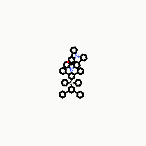 c1ccc(-c2cc(-c3ccccc3)cc([Si](c3ccccc3)(c3ccccc3)c3cc(-c4ccccc4)c(-n4c5ccccc5c5cc(-c6ccccc6-n6c7ccccc7c7ccccc76)ccc54)c(-c4ccccc4)c3)c2)cc1